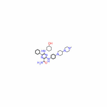 CN1CCN(C2CCN(c3ccc(Nc4nc(N[C@H]5CCC[C@H](O)C5)c(-c5ccccc5)nc4C(N)=O)cc3)CC2)CC1